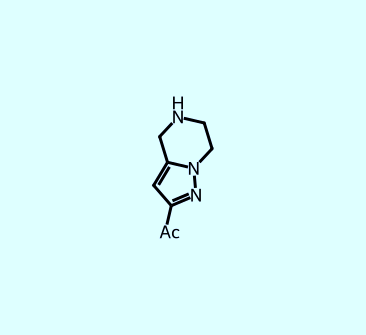 CC(=O)c1cc2n(n1)CCNC2